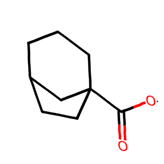 [O]C(=O)C12CCCC(CC1)C2